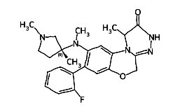 CC1C(=O)NN=C2COc3cc(-c4ccccc4F)c(N(C)[C@]4(C)CCN(C)C4)cc3N21